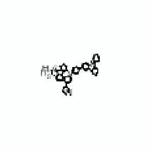 CC1(C)c2ccccc2-c2c(N(c3ccc(-c4cccnc4)cc3)c3ccc(-c4ccc5c(c4)c4ccccc4n5-c4ccccc4)cc3)cccc21